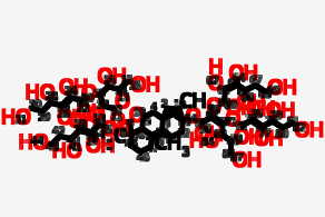 CC1=CC23CCC4C(C)(C(=O)OC5OC(CO)C(O)C(OC(O)/C(O)=C(\O)C(O)CCO)C5OC(O)/C(O)=C(\O)C(O)CCO)CCCC4(C)C2CCC1(OC(O)/C(OC(O)/C(O)=C(/O)C(O)CCO)=C(/OC(O)/C(O)=C(\O)C(O)CCO)C(O)CCO)C3